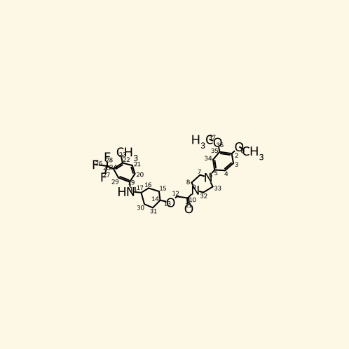 COc1ccc(N2CCN(C(=O)COC3CCC(Nc4ccc(C)c(C(F)(F)F)c4)CC3)CC2)cc1OC